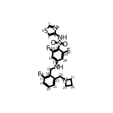 O=S(=O)(Nc1cscn1)c1c(F)cc(NCc2c(F)cccc2CN2CCC2)cc1F